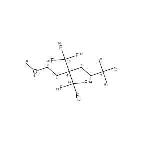 COCCC(CCC(C)(C)C)(C(F)(F)F)C(F)(F)F